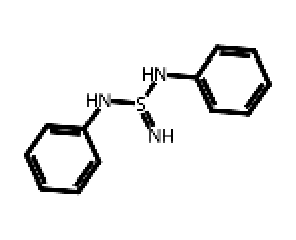 N=S(Nc1ccccc1)Nc1ccccc1